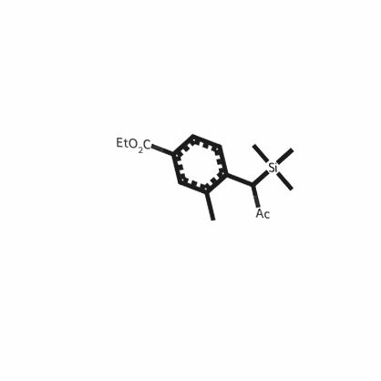 CCOC(=O)c1ccc(C(C(C)=O)[Si](C)(C)C)c(C)c1